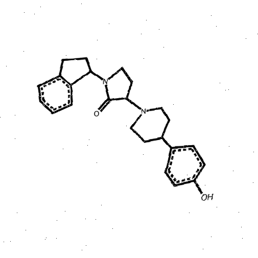 O=C1C(N2CCC(c3ccc(O)cc3)CC2)CCN1C1CCc2ccccc21